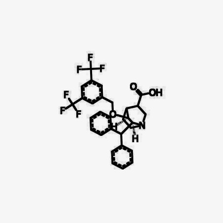 O=C(O)C1CN2CCC1[C@H](OCc1cc(C(F)(F)F)cc(C(F)(F)F)c1)[C@@H]2C(c1ccccc1)c1ccccc1